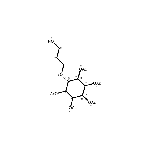 CC(=O)OC1C(OC(C)=O)[C@H](OCCCO)[C@@H](OC(C)=O)C(OC(C)=O)[C@H]1OC(C)=O